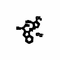 CCCCC1=[C]([Hf+2][CH]2C(P(C(C)CC)C(C)CC)=Cc3ccccc32)CC=C1C.[Cl-].[Cl-]